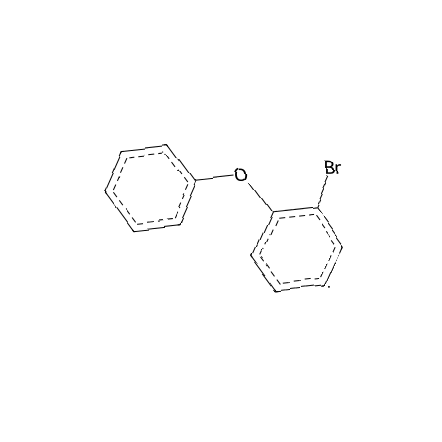 Brc1c[c]ccc1Oc1ccccc1